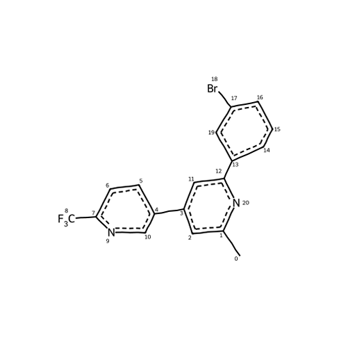 Cc1cc(-c2ccc(C(F)(F)F)nc2)cc(-c2cccc(Br)c2)n1